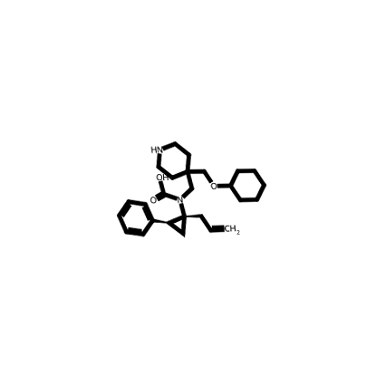 C=CC[C@@]1(N(CC2(COC3CCCCC3)CCNCC2)C(=O)O)C[C@H]1c1ccccc1